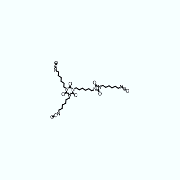 O=C=NCCCCCCN1C(=O)N(CCCCCCn2c(=O)n(CCCCCCN=C=O)c(=O)n(CCCCCCN=C=O)c2=O)C1=O